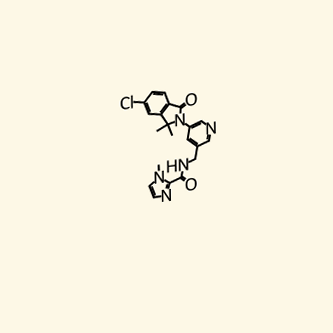 Cn1ccnc1C(=O)NCc1cncc(N2C(=O)c3ccc(Cl)cc3C2(C)C)c1